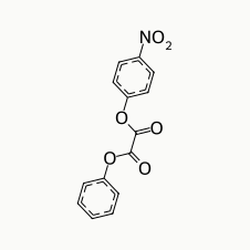 O=C(Oc1ccccc1)C(=O)Oc1ccc([N+](=O)[O-])cc1